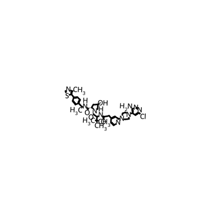 Cc1ncsc1-c1ccc([C@H](C)NC(=O)[C@@H]2C[C@@H](O)CN2C(=O)C(NC(=O)Cc2ccnc(N3CCN(c4cc(Cl)nnc4N)CC3)c2)C(C)(C)C)cc1